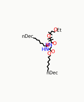 CCCCCCCCCCCCCCCCCCOC(=O)C(CNC(=O)C(C)(C)C(C)(C)OC(C)(C)CCOCC)NC(=O)CCCCCCCCCCCCCCCCC